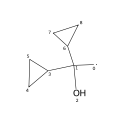 [CH2]C(O)(C1CC1)C1CC1